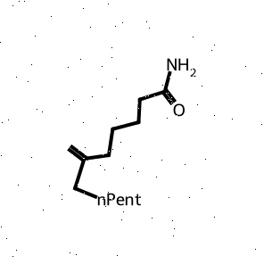 C=C(CCCCCC)CCCCC(N)=O